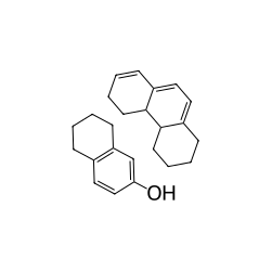 C1=CC2=CC=C3CCCCC3C2CC1.Oc1ccc2c(c1)CCCC2